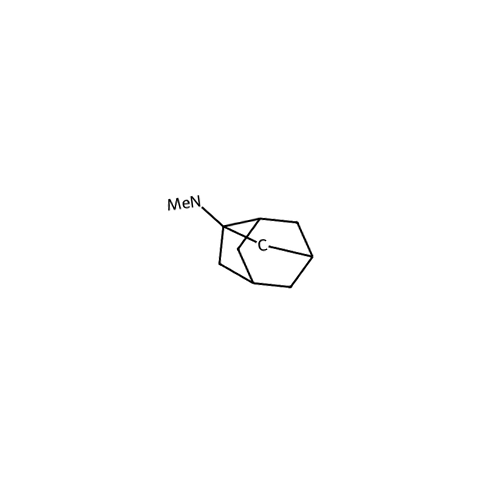 CNC12CC3CC(CC1C3)C2